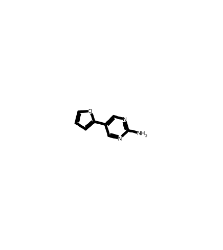 Nc1ncc(-c2ccco2)cn1